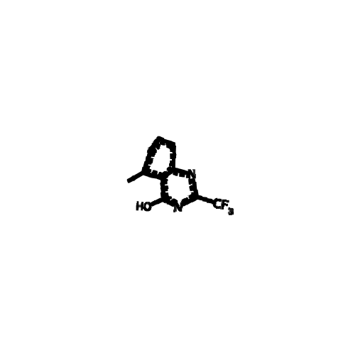 Cc1cccc2nc(C(F)(F)F)nc(O)c12